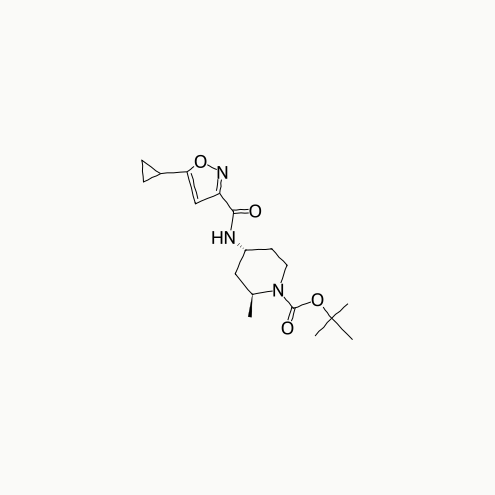 C[C@H]1C[C@H](NC(=O)c2cc(C3CC3)on2)CCN1C(=O)OC(C)(C)C